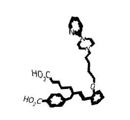 O=C(O)CCCCC(/C=C/c1ccccc1OCCCCCN1CCN(c2ccccn2)CC1)Cc1ccc(C(=O)O)cc1